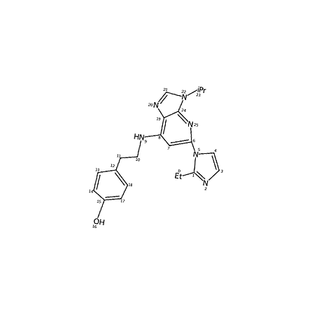 CCc1nccn1-c1cc(NCCc2ccc(O)cc2)c2ncn(C(C)C)c2n1